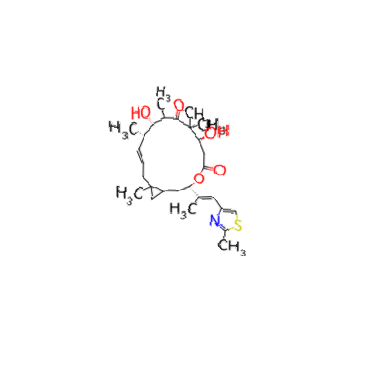 C/C(=C\c1csc(C)n1)[C@@H]1CC2CC2(C)C/C=C/[C@H](C)[C@H](O)[C@@H](C)C(=O)C(C)(C)[C@@H](O)CC(=O)O1